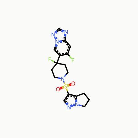 O=S(=O)(c1cnn2c1CCC2)N1CCC(F)(c2cn3ncnc3cc2F)CC1